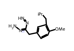 COc1ccc(C/C(N=N)=N/N)cc1CC(C)C